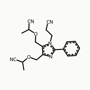 CC(C#N)OCc1nc(-c2ccccc2)n(CCC#N)c1COC(C)C#N